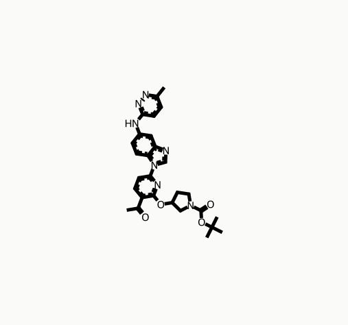 CC(=O)c1ccc(-n2cnc3cc(Nc4ccc(C)nn4)ccc32)nc1OC1CCN(C(=O)OC(C)(C)C)C1